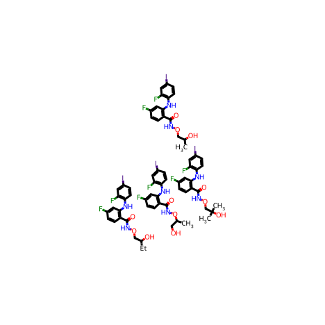 CC(C)(O)CONC(=O)c1ccc(F)cc1Nc1ccc(I)cc1F.CC(CO)ONC(=O)c1ccc(F)cc1Nc1ccc(I)cc1F.CC(O)CONC(=O)c1ccc(F)cc1Nc1ccc(I)cc1F.CCC(O)CONC(=O)c1ccc(F)cc1Nc1ccc(I)cc1F